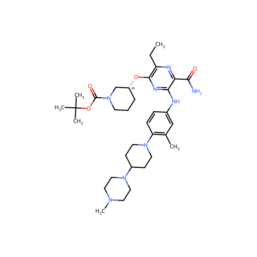 CCc1nc(C(N)=O)c(Nc2ccc(N3CCC(N4CCN(C)CC4)CC3)c(C)c2)nc1O[C@@H]1CCCN(C(=O)OC(C)(C)C)C1